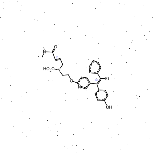 CC/C(=C(\c1ccc(O)cc1)c1ccc(OCCN(C/C=C/C(=O)N(C)C)C(=O)O)nc1)c1ccccc1